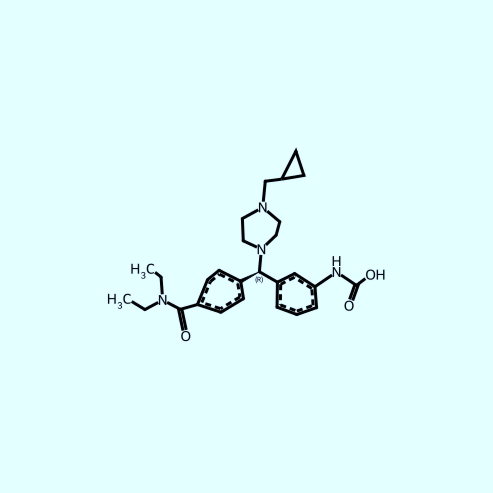 CCN(CC)C(=O)c1ccc([C@H](c2cccc(NC(=O)O)c2)N2CCN(CC3CC3)CC2)cc1